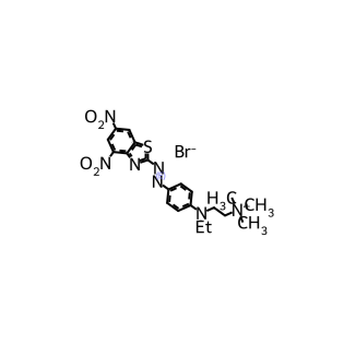 CCN(CC[N+](C)(C)C)c1ccc(/N=N/c2nc3c([N+](=O)[O-])cc([N+](=O)[O-])cc3s2)cc1.[Br-]